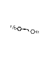 CC[C@H]1CC[C@H](C=CC#Cc2ccc(OC(F)(F)F)cc2)CC1